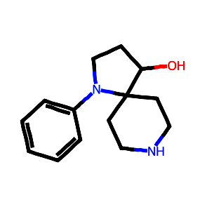 OC1CCN(c2ccccc2)C12CCNCC2